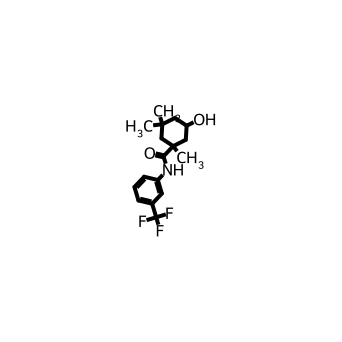 CC1(C)CC(O)CC(C)(C(=O)Nc2cccc(C(F)(F)F)c2)C1